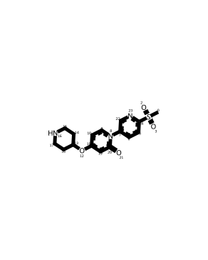 CS(=O)(=O)c1ccc(-n2ccc(OC3CCNCC3)cc2=O)cn1